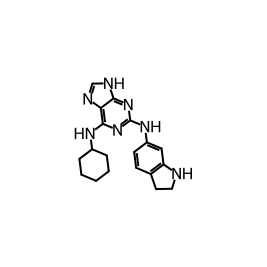 c1nc2c(NC3CCCCC3)nc(Nc3ccc4c(c3)NCC4)nc2[nH]1